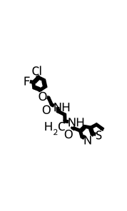 C=C(CCNC(=O)COc1ccc(Cl)c(F)c1)NC(=O)c1cnc2c(c1)CCS2